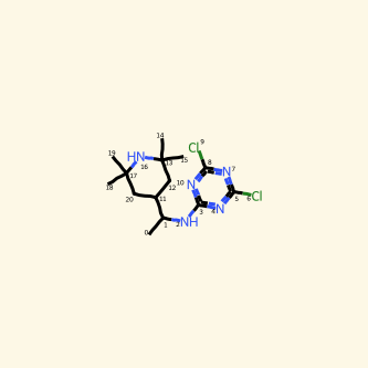 CC(Nc1nc(Cl)nc(Cl)n1)C1CC(C)(C)NC(C)(C)C1